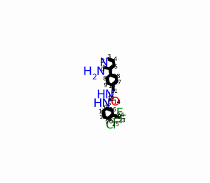 Nc1ncccc1-c1ccc(CNC(=O)Nc2ccc(Cl)c(C(F)(F)F)c2)cc1